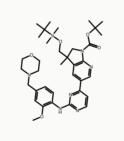 COc1cc(CN2CCOCC2)ccc1Nc1nccc(-c2cnc3c(c2)C(C)(CO[Si](C)(C)C(C)(C)C)CN3C(=O)OC(C)(C)C)n1